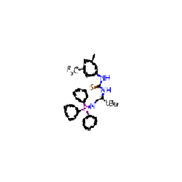 Cc1cc(NC(=S)N[C@H](CN=P(c2ccccc2)(c2ccccc2)c2ccccc2)C(C)(C)C)cc(C(F)(F)F)c1